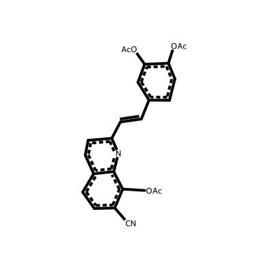 CC(=O)Oc1ccc(C=Cc2ccc3ccc(C#N)c(OC(C)=O)c3n2)cc1OC(C)=O